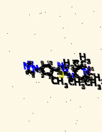 Cc1cc(-n2ccnn2)ccc1-c1nnc(N(C)C2CC(C)(C)N(I)C(C)(C)C2)s1